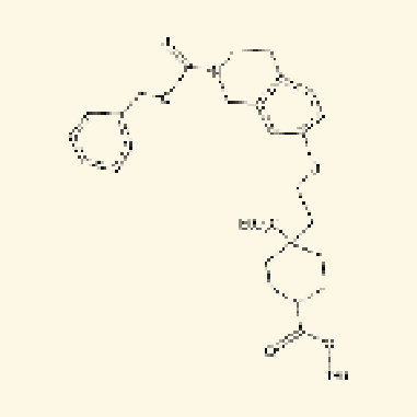 CCOC(=O)C1(CCOc2ccc3c(c2)CN(C(=O)OCc2ccccc2)CC3)CCN(C(=O)OC(C)(C)C)CC1